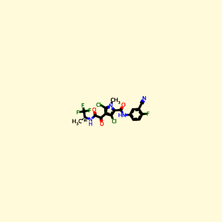 C[C@@H](NC(=O)C(=O)c1c(Cl)c(C(=O)Nc2ccc(F)c(C#N)c2)n(C)c1Cl)C(F)(F)F